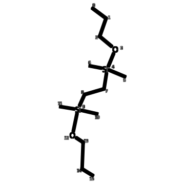 CCCO[Si](C)(C)CC[Si](C)(C)OCCC